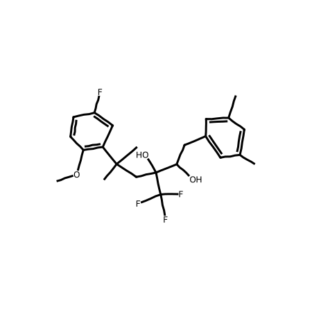 COc1ccc(F)cc1C(C)(C)CC(O)(C(O)Cc1cc(C)cc(C)c1)C(F)(F)F